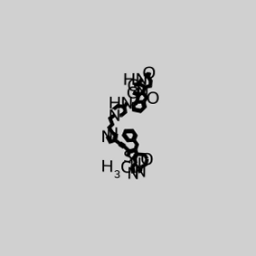 Cc1nnc2n1-c1sc(C#Cc3cnn(CCCN4CCC(Nc5cccc6c5C(=O)N(C5CCC(=O)NC5=O)C6=O)CC4)c3)c(Cc3ccccc3)c1COC2